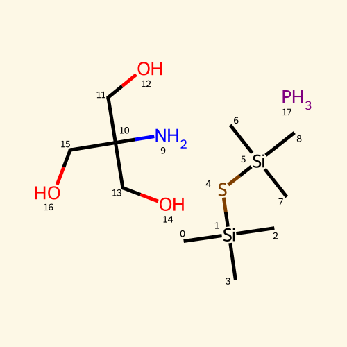 C[Si](C)(C)S[Si](C)(C)C.NC(CO)(CO)CO.P